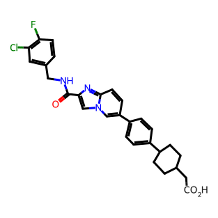 O=C(O)CC1CCC(c2ccc(-c3ccc4nc(C(=O)NCc5ccc(F)c(Cl)c5)cn4c3)cc2)CC1